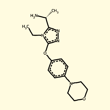 CCn1c(Oc2ccc(N3CCOCC3)cc2)nnc1[C@@H](C)N